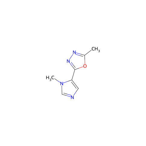 Cc1nnc(-c2cncn2C)o1